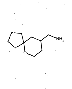 NCC1CCOC2(CCCC2)C1